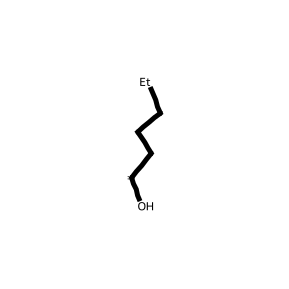 CCCCC[C]O